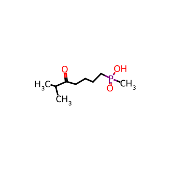 CC(C)C(=O)CCCCP(C)(=O)O